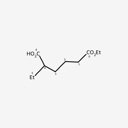 CCOC(=O)CCCC(CC)C(=O)O